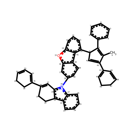 CC1=C(c2ccccc2)C(c2cccc3oc4cc(-n5c6c(c7ccccc75)CCC(C5=CC=CCC5)=C6)ccc4c23)C=C1C1=CCCC=C1